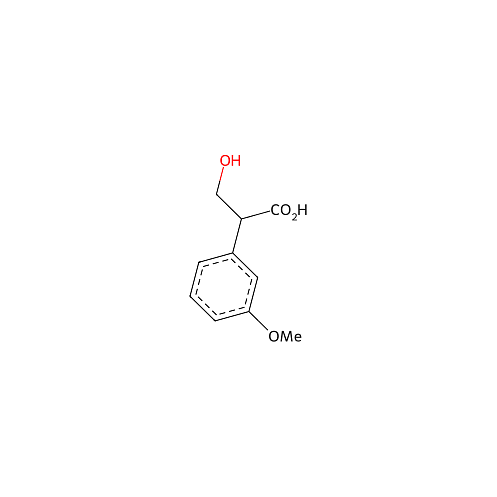 COc1cccc(C(CO)C(=O)O)c1